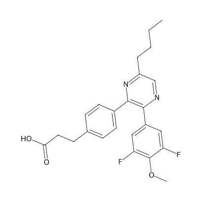 CCCCc1cnc(-c2cc(F)c(OC)c(F)c2)c(-c2ccc(CCC(=O)O)cc2)n1